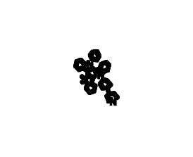 CC1(C)c2ccccc2-c2c1c1c3ccccc3n(-c3ccccc3)c1c1c3ccccc3n(-c3ccc(-c4ccncc4)cc3)c21